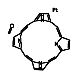 C1=Cc2cc3ccc(cc4nc(cc5ccc(cc1n2)[nH]5)C=C4)[nH]3.C=O.[Pt]